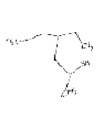 CCC(CC)CC(C)S